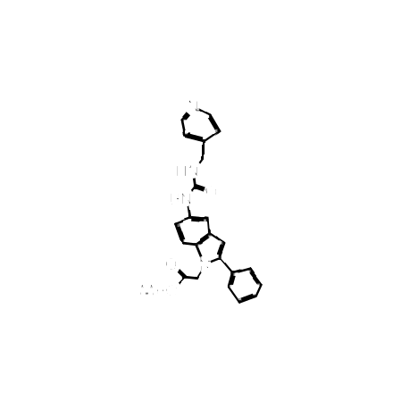 COC(=O)Cn1c(-c2ccccc2)cc2cc(NC(=O)NCc3ccncc3)ccc21